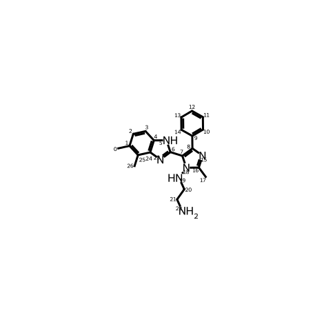 Cc1ccc2[nH]c(-c3c(-c4ccccc4)nc(C)n3NCCN)nc2c1C